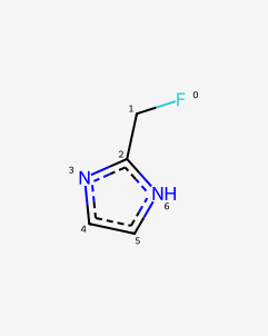 FCc1ncc[nH]1